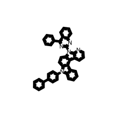 c1ccc(-c2ccc(-n3c4ccccc4c4c5c6cccnc6n(-c6nc(-c7ccccc7)c7ccccc7n6)c5ccc43)cc2)cc1